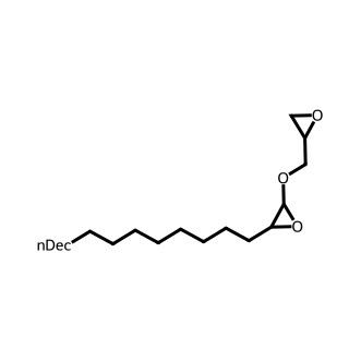 CCCCCCCCCCCCCCCCCCC1OC1OCC1CO1